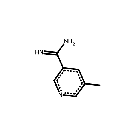 Cc1cncc(C(=N)N)c1